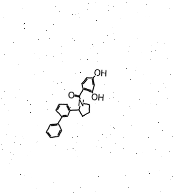 O=C(c1ccc(O)cc1O)N1CCCC1c1cccc(-c2ccccc2)c1